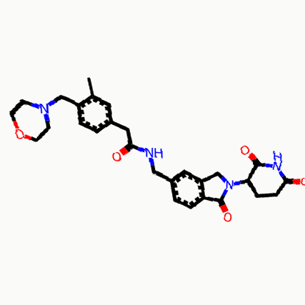 Cc1cc(CC(=O)NCc2ccc3c(c2)CN(C2CCC(=O)NC2=O)C3=O)ccc1CN1CCOCC1